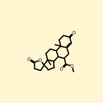 COC(=O)C1CC2=CC(=O)CCC2(C)C2CCC3(C)C(CCC34CCC(=O)O4)C12